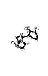 Fc1cccc(-c2ncc3c(Cl)nccn23)c1Cl